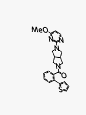 COc1ccnc(N2CC3CN(C(=O)c4ccccc4-c4cccs4)CC3C2)n1